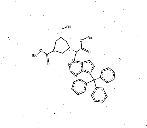 CC(C)(C)OC(=O)N1C[C@H](CC#N)C[C@H](N(C(=O)OC(C)(C)C)c2ncnc3c2ccn3C(c2ccccc2)(c2ccccc2)c2ccccc2)C1